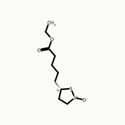 C[CH]OC(=O)CCCC[C@H]1CC[S+]([O-])S1